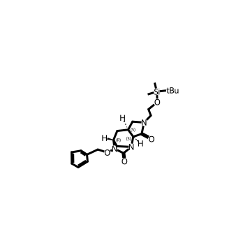 CC(C)(C)[Si](C)(C)OCCN1C[C@@H]2C[C@@H]3CN(C(=O)N3OCc3ccccc3)[C@@H]2C1=O